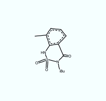 CCC(C)N1C(=O)c2cccc(C)c2NS1(=O)=O